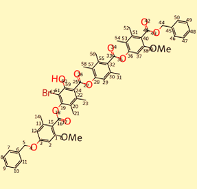 COc1cc(OCc2ccccc2)cc(C)c1C(=O)Oc1c(C)c(C)c(C(=O)Oc2cc(C)c(C(=O)Oc3cc(OC)c(C(=O)OCc4ccccc4)c(C)c3C)c(C)c2C)c(O)c1Br